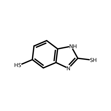 Sc1ccc2[nH]c(S)nc2c1